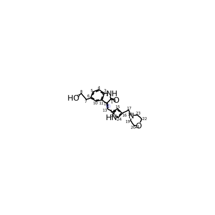 O=C1Nc2ccc(CCO)cc2/C1=C/c1cc(CN2CCOCC2)c[nH]1